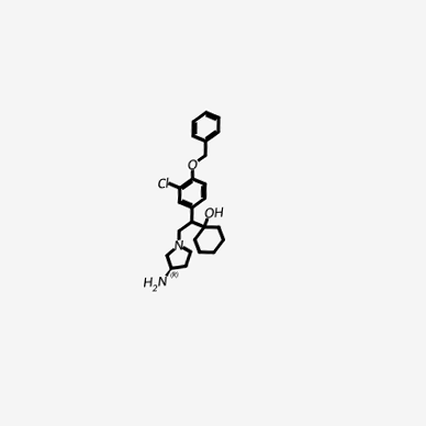 N[C@@H]1CCN(CC(c2ccc(OCc3ccccc3)c(Cl)c2)C2(O)CCCCC2)C1